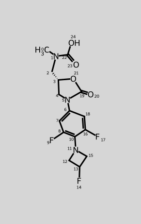 CN(C[C@H]1CN(c2cc(F)c(N3CC(F)C3)c(F)c2)C(=O)O1)C(=O)O